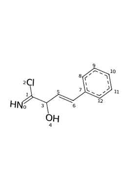 N=C(Cl)C(O)C=Cc1ccccc1